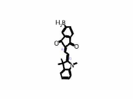 Bc1ccc2c(c1)C(=O)/C(=C/C=C1/N(C)c3ccccc3C1(C)C)C2=O